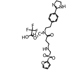 CN(CCc1ccc(C2=NCCN2)cc1)C(=O)CCNCS(=O)(=O)c1ccco1.O=C(O)C(F)(F)F